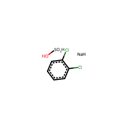 Clc1ccccc1Cl.O=S(=O)(O)O.[NaH]